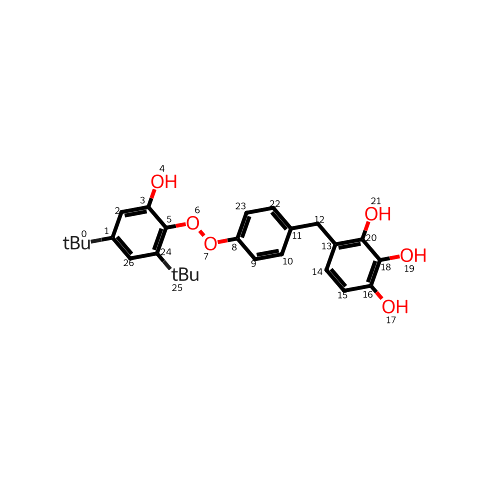 CC(C)(C)c1cc(O)c(OOc2ccc(Cc3ccc(O)c(O)c3O)cc2)c(C(C)(C)C)c1